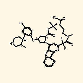 C[C@H]1CNCC[C@]1(F)c1cc(Cl)cnc1O[C@H]1C[C@@H](C(=O)OC(C)(C)C)N(c2nc(C(F)(F)C(=O)N(C)CCCC(=O)O)nc3c2oc2ccccc23)C1